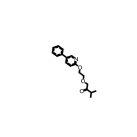 CC(C)C(=O)COCCOc1ccc(-c2ccccc2)cn1